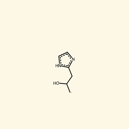 [CH2]C(O)Cc1ncc[nH]1